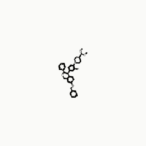 COC(OC)C1CCN(c2ccc(C3=C(c4ccccc4)OCc4cc(OCc5ccccc5)ccc43)cc2F)CC1